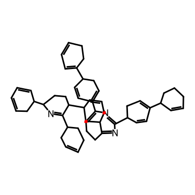 C1=CCCC(C2C=CC(C3=C/CC/C(C4CC=CC(C5CCC(C6C=CC=CC6)N=C5C5CC=CCC5)C4)=N/C(C4C=CC(C5C=CCCC5)=CC4)=N\3)=CC2)=C1